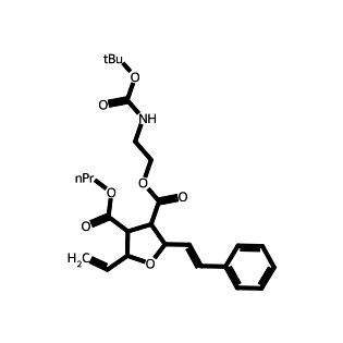 C=CC1OC(/C=C/c2ccccc2)C(C(=O)OCCNC(=O)OC(C)(C)C)C1C(=O)OCCC